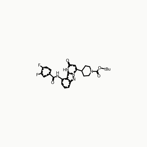 CC(C)(C)OC(=O)N1CCC(c2cc(=O)[nH]c3c4c(NC(=O)c5ccc(F)c(F)c5)cccc4nn23)CC1